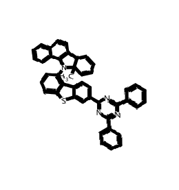 CC12C=CC=CC1c1ccc3ccccc3c1N2c1cccc2sc3cc(-c4nc(-c5ccccc5)nc(-c5ccccc5)n4)ccc3c12